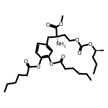 CCCCCC(=O)Oc1ccc(C[C@](N)(CCOC(=O)O[C@@H](C)CCC)C(=O)OC)cc1OC(=O)CCCCC